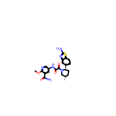 COc1ncc(NC(=O)C(=O)N2C[C@@H](C)CC[C@@H]2c2ccc3sc(N)nc3c2)cc1C(N)=O